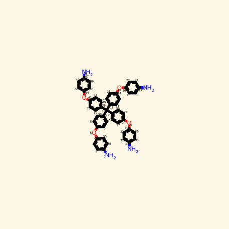 Nc1ccc(Oc2ccc(C(c3ccc(Oc4ccc(N)cc4)cc3)(c3ccc(Oc4ccc(N)cc4)cc3)c3ccc(Oc4ccc(N)cc4)cc3)cc2)cc1